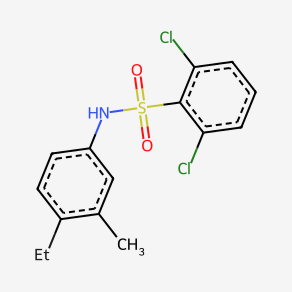 CCc1ccc(NS(=O)(=O)c2c(Cl)cccc2Cl)cc1C